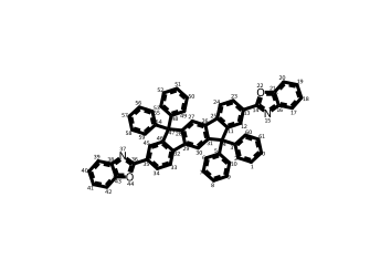 c1ccc(C2(c3ccccc3)c3cc(-c4nc5ccccc5o4)ccc3-c3cc4c(cc32)-c2ccc(-c3nc5ccccc5o3)cc2C4(c2ccccc2)c2ccccc2)cc1